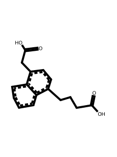 O=C(O)CCCc1ccc(CC(=O)O)c2ccccc12